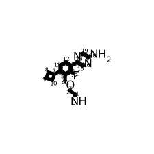 N=CCOCc1c(C2CCC2)ccc(-c2cnc(N)cn2)c1F